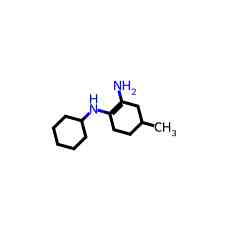 CC1CCC(NC2CCCCC2)=C(N)C1